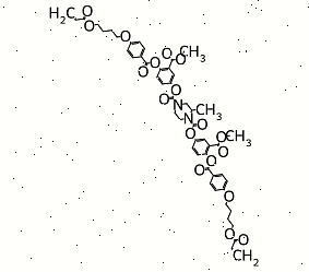 C=CC(=O)OCCCCOc1ccc(C(=O)Oc2ccc(OC(=O)N3CCN(C(=O)Oc4ccc(OC(=O)c5ccc(OCCCCOC(=O)C=C)cc5)c(C(=O)OC)c4)C(C)C3)cc2C(=O)OC)cc1